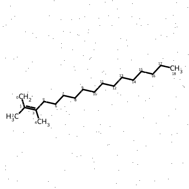 [CH2]C(C)=C(C)CCCCCCCCCCCCCC